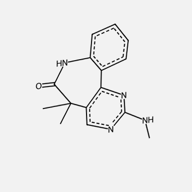 CNc1ncc2c(n1)-c1ccccc1NC(=O)C2(C)C